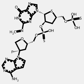 C=Nc1nc2c(ncn2[C@@H]2S[C@H](COP(O)(O)=S)C[C@H]2OP(O)(=S)OC[C@@H]2C[C@@](F)(n3ccc4c(N)ncnc43)CO2)c(=O)[nH]1